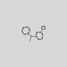 C[C](c1ccccc1)c1cccc(Cl)c1